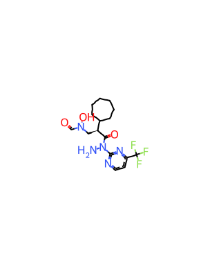 NN(C(=O)[C@@H](CN(O)C=O)C1CCCCCC1)c1nccc(C(F)(F)F)n1